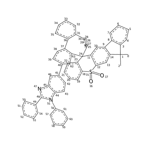 CC1(C)c2ccccc2-c2cc3c(cc21)S(=O)(=O)c1ccccc1C31c2ccccc2-c2ccccc2-c2ccc(-c3ccc4c(c3)nc(-c3ccccc3)n4-c3ccccc3)cc21